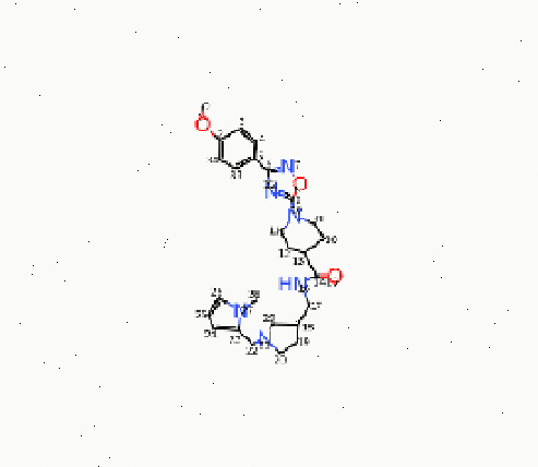 COc1ccc(-c2noc(N3CCC(C(=O)NCC4CCN(Cc5cccn5C)C4)CC3)n2)cc1